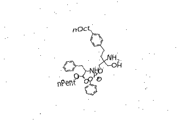 CCCCCCCCc1ccc(CCC(N)(CO)COP(=O)(NC(Cc2ccccc2)C(=O)OCCCCC)Oc2ccccc2)cc1